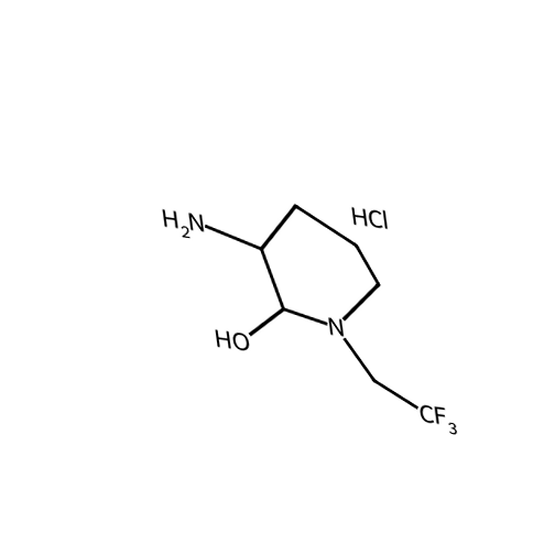 Cl.NC1CCCN(CC(F)(F)F)C1O